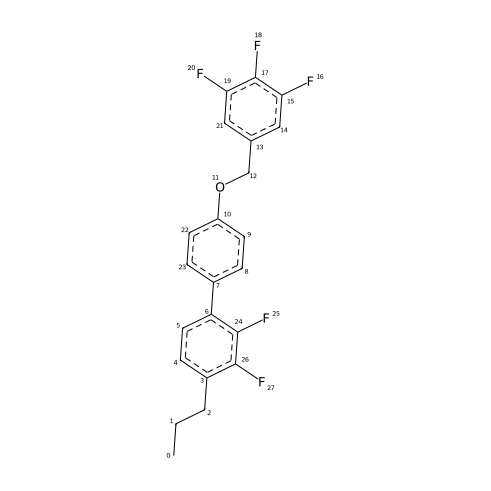 CCCc1ccc(-c2ccc(OCc3cc(F)c(F)c(F)c3)cc2)c(F)c1F